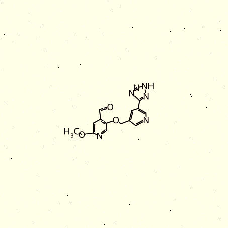 COc1cc(C=O)c(OCc2cncc(-c3nn[nH]n3)c2)cn1